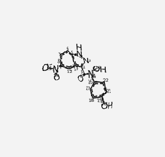 O=C(c1n[nH]c2ccc([N+](=O)[O-])cc12)N(O)c1ccc(O)cc1